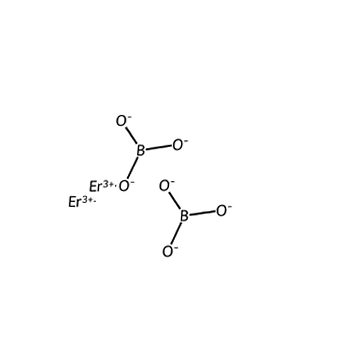 [Er+3].[Er+3].[O-]B([O-])[O-].[O-]B([O-])[O-]